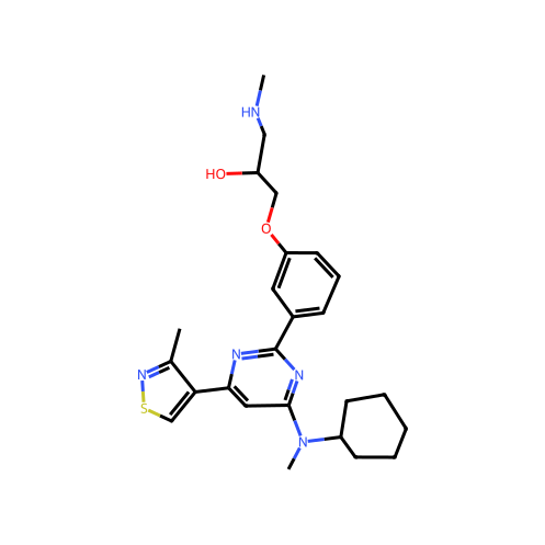 CNCC(O)COc1cccc(-c2nc(-c3csnc3C)cc(N(C)C3CCCCC3)n2)c1